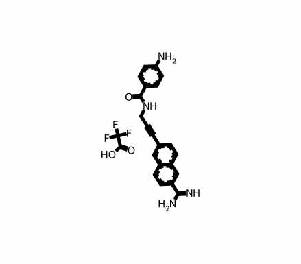 N=C(N)c1ccc2cc(C#CCNC(=O)c3ccc(N)cc3)ccc2c1.O=C(O)C(F)(F)F